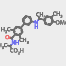 COc1ccc(C(C)Nc2cccc(-c3cc(C)c(C(=O)NC(C)C(=O)O)c(C)c3)c2)cc1C